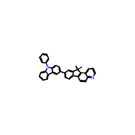 CC1(C)c2cc(-c3ccc4c(c3)c3ccccc3n4-c3ccccc3)ccc2-c2ccc3ncccc3c21